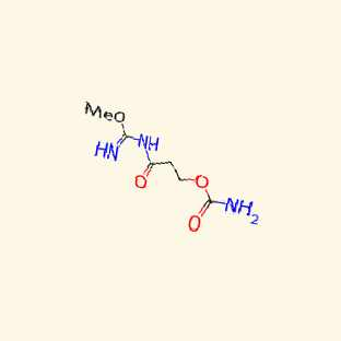 COC(=N)NC(=O)CCOC(N)=O